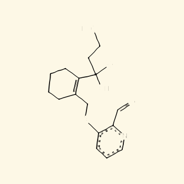 CCCC(C)(O)C1=C(COc2cccnc2C=O)CCCC1